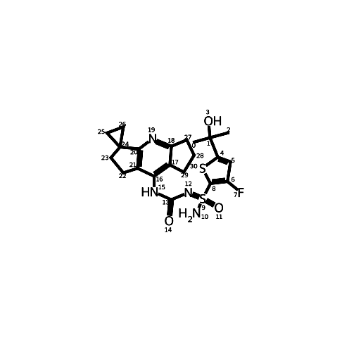 CC(C)(O)c1cc(F)c(S(N)(=O)=NC(=O)Nc2c3c(nc4c2CCC42CC2)CCC3)s1